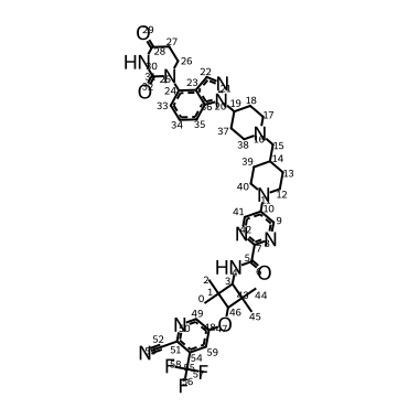 CC1(C)C(NC(=O)c2ncc(N3CCC(CN4CCC(n5ncc6c(N7CCC(=O)NC7=O)cccc65)CC4)CC3)cn2)C(C)(C)C1Oc1cnc(C#N)c(C(F)(F)F)c1